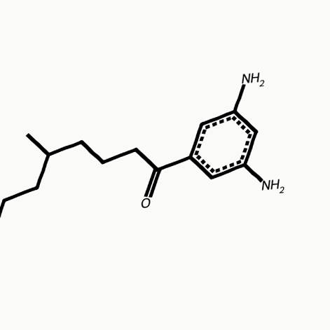 CCCC(C)CCCC(=O)c1cc(N)cc(N)c1